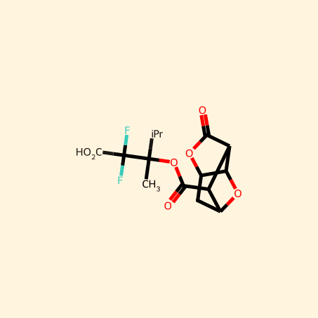 CC(C)C(C)(OC(=O)C1C2CC3OC(=O)C1C3O2)C(F)(F)C(=O)O